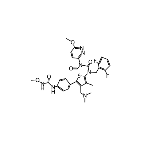 CONC(=O)Nc1ccc(-c2sc(N(Cc3c(F)cccc3F)C(=O)N(C=O)c3ccc(OC)nn3)c(C)c2CN(C)C)cc1